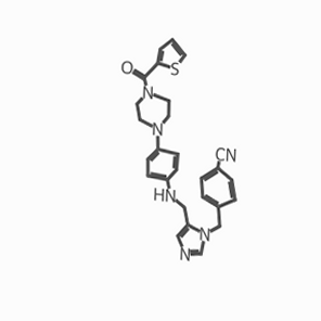 N#Cc1ccc(Cn2cncc2CNc2ccc(N3CCN(C(=O)c4cccs4)CC3)cc2)cc1